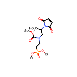 CCOP(=O)(CCN(CC(C(=O)O)N1C(=O)C=CC1=O)C(=O)OC(C)(C)C)OCC